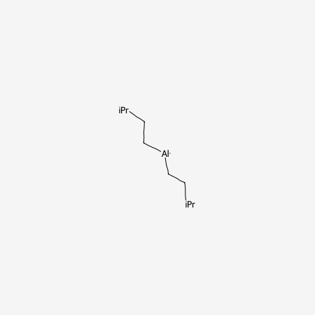 CC(C)C[CH2][Al][CH2]CC(C)C